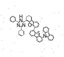 C1=CCC(C2=NC(C3=c4oc5c(-c6cccc7c6sc6c(-n8c9ccccc9c9ccccc98)cccc67)cccc5c4=CCC3)NC(c3ccccc3)=N2)C=C1